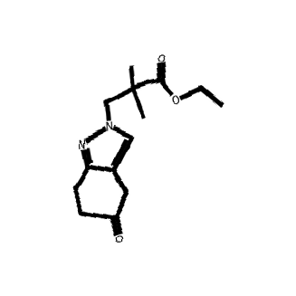 CCOC(=O)C(C)(C)Cn1cc2c(n1)CCC(=O)C2